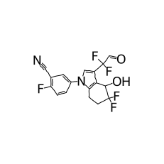 N#Cc1cc(-n2cc(C(F)(F)C=O)c3c2CCC(F)(F)C3O)ccc1F